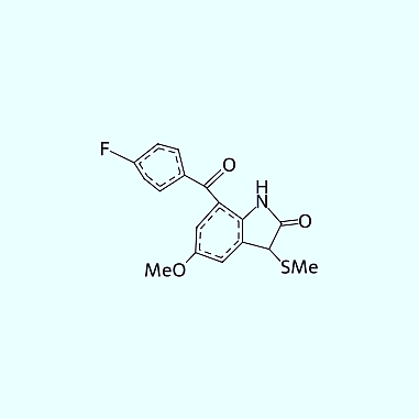 COc1cc(C(=O)c2ccc(F)cc2)c2c(c1)C(SC)C(=O)N2